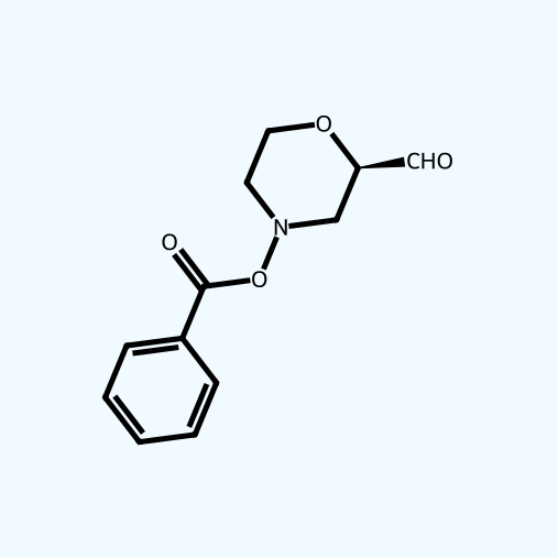 O=C[C@H]1CN(OC(=O)c2ccccc2)CCO1